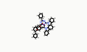 C1=CC(n2c3ccccc3c3ccc4c5ccccc5n(-c5nc(-c6ccccc6)nc(-c6ccccc6)n5)c4c32)=CC(c2cccc(-c3ccccc3)c2)C1